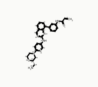 C=CC(=O)Nc1cccc(-c2cccc3cnc(Nc4ccc(N5CCO[C@@H](CN)C5)nc4)nc23)c1